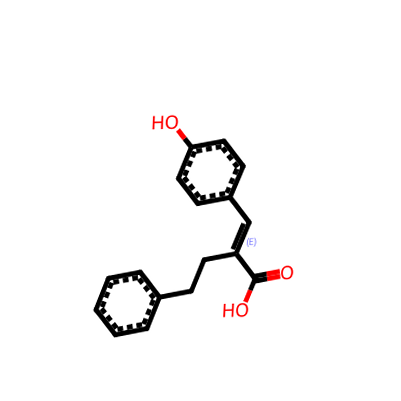 O=C(O)/C(=C/c1ccc(O)cc1)CCc1ccccc1